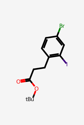 CC(C)(C)OC(=O)CCc1ccc(Br)cc1I